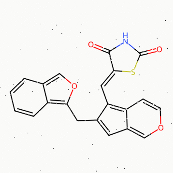 O=C1NC(=O)C(=Cc2c(Cc3occ4ccccc34)cc3coccc2-3)S1